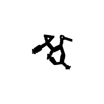 COc1cc(Br)cnc1C1(C#N)CC1